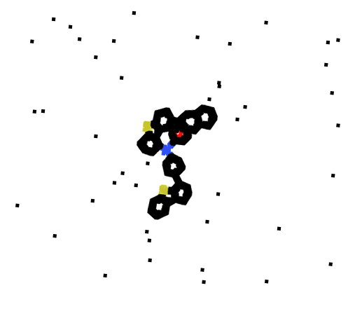 c1ccc(N(c2ccc(-c3cccc4c3sc3ccccc34)cc2)c2cccc3sc4ccc5c6cc7ccccc7cc6oc5c4c23)cc1